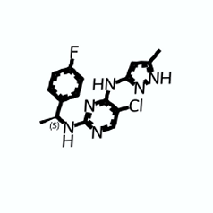 Cc1cc(Nc2nc(N[C@@H](C)c3ccc(F)cc3)ncc2Cl)n[nH]1